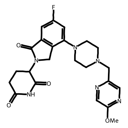 COc1cnc(CN2CCN(c3cc(F)cc4c3CN(C3CCC(=O)NC3=O)C4=O)CC2)cn1